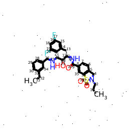 CCCN1Cc2ccc(C(=O)N[C@@H](Cc3cc(F)cc(F)c3)[C@H](O)CNCc3cccc(CC)c3)cc2S1(=O)=O